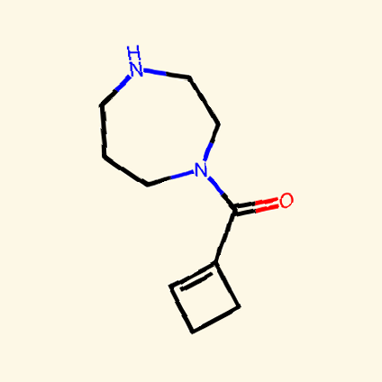 O=C(C1=CCC1)N1CCCNCC1